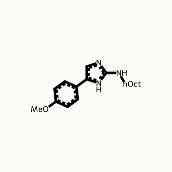 CCCCCCCCNc1ncc(-c2ccc(OC)cc2)[nH]1